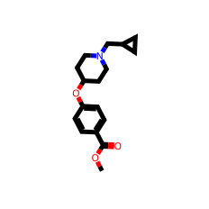 COC(=O)c1ccc(OC2CCN(CC3CC3)CC2)cc1